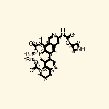 Cc1c(-c2cc3cc(NC(=O)OC4CNC4)ncc3c(NC(=O)OC(C)(C)C)c2F)cnc2c1N(C(=O)OC(C)(C)C)CCC2